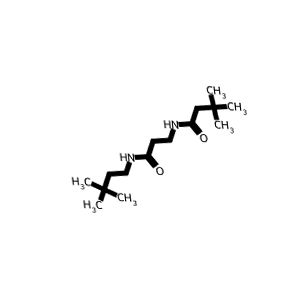 CC(C)(C)CCNC(=O)CCNC(=O)CC(C)(C)C